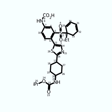 CCC1(S(=O)(=O)c2cc(NC(=O)O)ccc2-c2cnc(C3CCC(NC(=O)OC(C)C)CC3)s2)C=CC=CC1